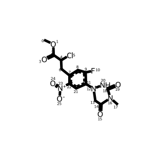 COC(=O)C(Cl)Cc1cc(F)c(N2CC(=O)N(C)C(=O)N2)cc1[N+](=O)[O-]